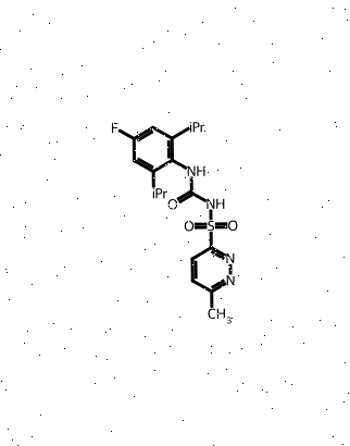 Cc1ccc(S(=O)(=O)NC(=O)Nc2c(C(C)C)cc(F)cc2C(C)C)nn1